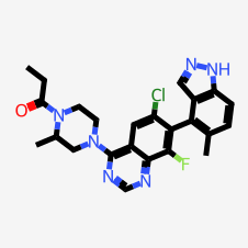 CCC(=O)N1CCN(c2ncnc3c(F)c(-c4c(C)ccc5[nH]ncc45)c(Cl)cc23)CC1C